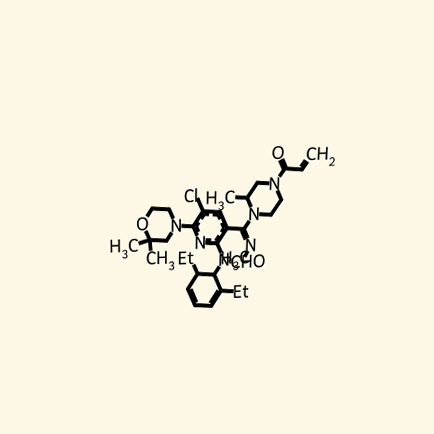 C=CC(=O)N1CCN(/C(=N/C)c2cc(Cl)c(N3CCOC(C)(C)C3)nc2N(C=O)C2C(CC)=CC=CC2CC)C(C)C1